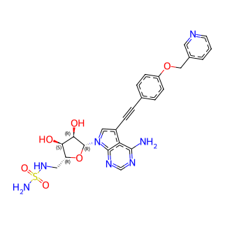 Nc1ncnc2c1c(C#Cc1ccc(OCc3cccnc3)cc1)cn2[C@@H]1O[C@H](CNS(N)(=O)=O)[C@@H](O)[C@H]1O